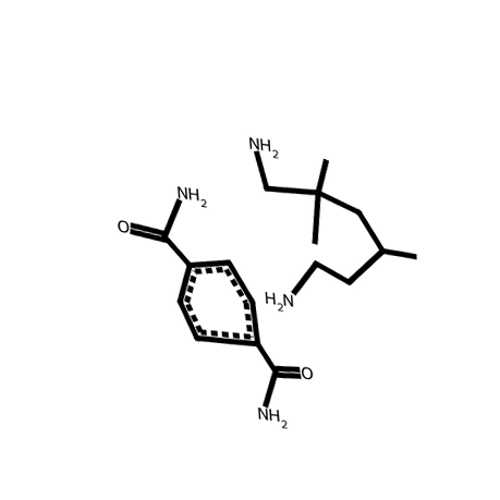 CC(CCN)CC(C)(C)CN.NC(=O)c1ccc(C(N)=O)cc1